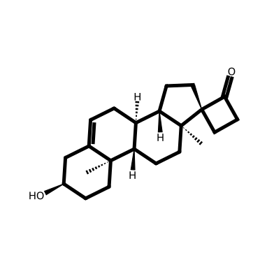 C[C@]12CC[C@@H](O)CC1=CC[C@@H]1[C@@H]2CC[C@@]2(C)[C@H]1CC[C@@]21CCC1=O